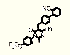 CCCc1nc(C)n(-c2ccc(OC(F)(F)F)cc2)c(=O)c1Cc1ccc(-c2ccccc2C#N)cc1